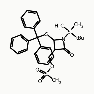 CC(C)(C)[Si](C)(C)N1C(=O)C(COS(C)(=O)=O)C1SC(c1ccccc1)(c1ccccc1)c1ccccc1